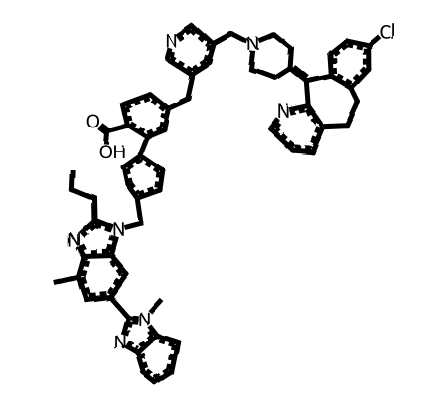 CCCc1nc2c(C)cc(-c3nc4ccccc4n3C)cc2n1Cc1ccc(-c2cc(Cc3cncc(CN4CCC(=C5c6ccc(Cl)cc6CCc6cccnc65)CC4)c3)ccc2C(=O)O)cc1